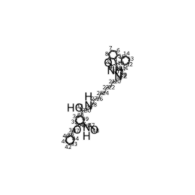 NC(=O)C(c1ccccc1)(c1ccccc1)C1CCN(CCCCCCCCCNCC(O)c2ccc(OCc3ccccc3)c(NC=O)c2)C1